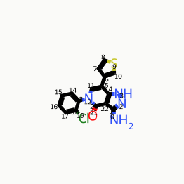 Nc1n[nH]c2c(-c3ccsc3)cn(-c3ccccc3Cl)c(=O)c12